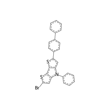 Brc1cc2c(s1)c1sc(-c3ccc(-c4ccccc4)cc3)cc1n2-c1ccccc1